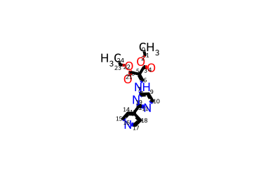 CCOC(=O)C(=CNc1ccnc(-c2ccncc2)n1)C(=O)OCC